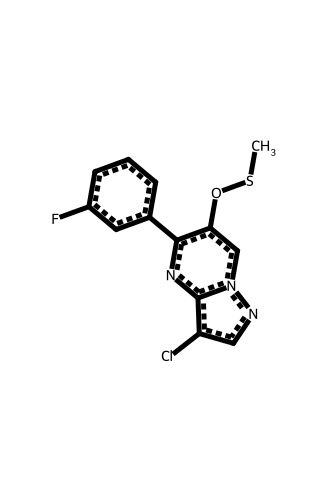 CSOc1cn2ncc(Cl)c2nc1-c1cccc(F)c1